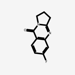 O=c1c2ccc(F)cc2nc2n1CCC2